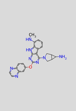 CNc1cccc2c1[nH]c1nc(Oc3ccc4nccnc4c3)nc(N3CC4C(N)C4C3)c12